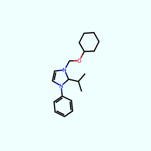 CC(C)C1N(COC2CCCCC2)C=CN1c1ccccc1